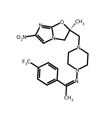 CC(=NN1CCN(C[C@@]2(C)Cn3cc([N+](=O)[O-])nc3O2)CC1)c1ccc(C(F)(F)F)cc1